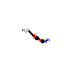 CCCCCCCC(=O)Oc1ccc(COc2ccc3nc(C#N)sc3c2)cc1